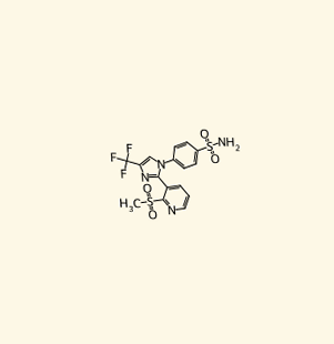 CS(=O)(=O)c1ncccc1-c1nc(C(F)(F)F)cn1-c1ccc(S(N)(=O)=O)cc1